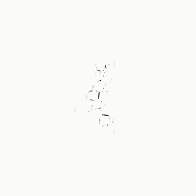 CCC(Nc1ncnc2c1nc(-c1cnc(C)nc1)n2CC)C(=O)N1C[C@@H]2C[C@H]1CO2